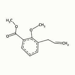 C=CCc1cccc(C(=O)OC)c1OC